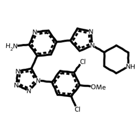 COc1c(Cl)cc(-n2nnnc2-c2cc(-c3cnn(C4CCNCC4)c3)cnc2N)cc1Cl